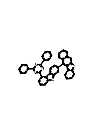 c1ccc(-c2nc(-c3ccccc3)nc(-c3cccc4oc5cc(-c6c7ccccc7cc7sc8ccccc8c67)ccc5c34)n2)cc1